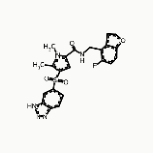 Cc1c(S(=O)(=O)c2ccc3nn[nH]c3c2)cc(C(=O)NCc2c(F)ccc3occc23)n1C